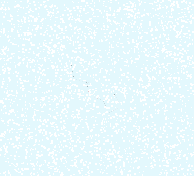 C[C](C)CC(=O)OC1COC1